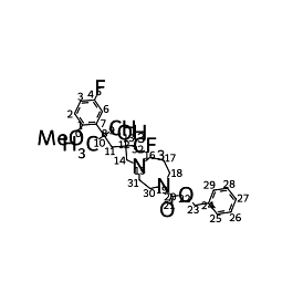 COc1ccc(F)cc1C(C)(C)CC(O)(CN1CCCN(C(=O)OCc2ccccc2)CC1)C(F)(F)F